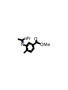 CCC/C(C)=N\c1cc(C(=O)OC)ccc1C